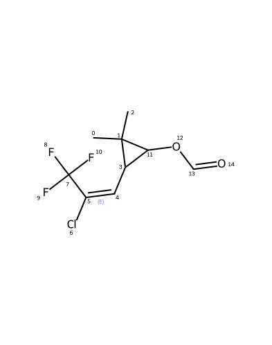 CC1(C)C(/C=C(/Cl)C(F)(F)F)C1OC=O